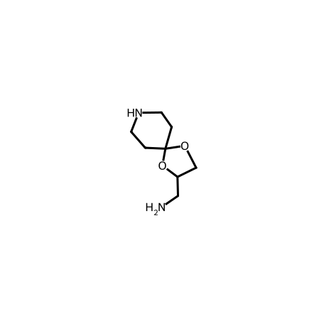 NCC1COC2(CCNCC2)O1